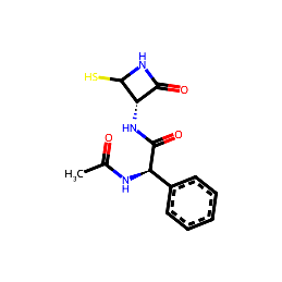 CC(=O)N[C@@H](C(=O)N[C@H]1C(=O)NC1S)c1ccccc1